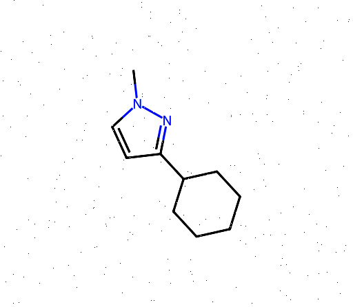 Cn1ccc(C2CCCCC2)n1